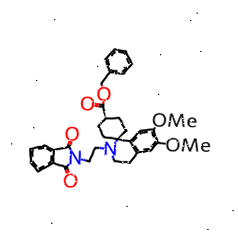 COc1cc2c(cc1OC)[C@]1(CC[C@H](C(=O)OCc3ccccc3)CC1)N(CCN1C(=O)c3ccccc3C1=O)CC2